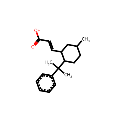 CC1CCC(C(C)(C)c2ccccc2)C(C=CC(=O)O)C1